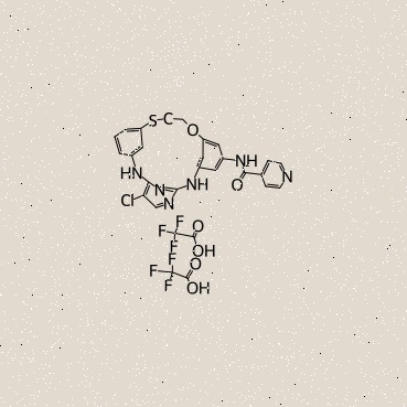 O=C(Nc1cc2cc(c1)OCCSc1cccc(c1)Nc1nc(ncc1Cl)N2)c1ccncc1.O=C(O)C(F)(F)F.O=C(O)C(F)(F)F